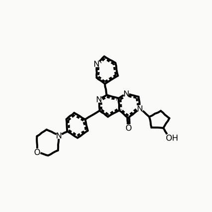 O=c1c2cc(-c3ccc(N4CCOCC4)cc3)nc(-c3cccnc3)c2ncn1C1CCC(O)C1